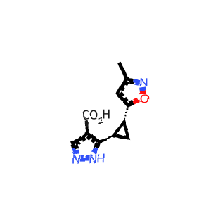 Cc1cc([C@@H]2C[C@H]2c2[nH]ncc2C(=O)O)on1